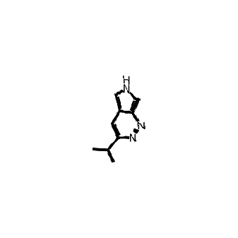 CC(C)c1cc2c[nH]cc2nn1